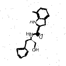 Cc1cccc2c1NC(C(=O)N[C@@H](CO)Cc1ccccc1)C2